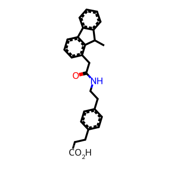 CC1c2ccccc2-c2cccc(CC(=O)NCCc3ccc(CCC(=O)O)cc3)c21